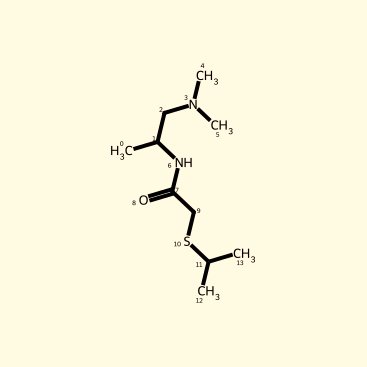 CC(CN(C)C)NC(=O)CSC(C)C